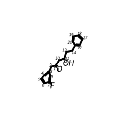 O=C(Cc1cccc(F)c1)CC(O)CCc1ccccc1